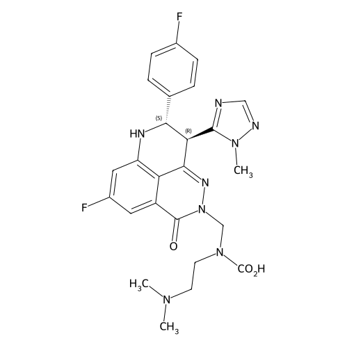 CN(C)CCN(Cn1nc2c3c(cc(F)cc3c1=O)N[C@H](c1ccc(F)cc1)[C@H]2c1ncnn1C)C(=O)O